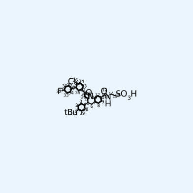 CC(C)(C)c1ccc(C(Cc2ccc(C(=O)NCCS(=O)(=O)O)cc2)c2cc(-c3ccc(Cl)c(-c4ccc(F)cc4)c3)on2)cc1